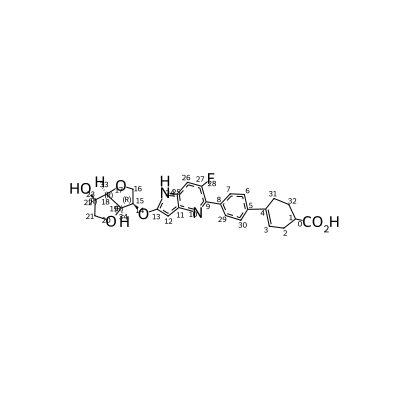 O=C(O)C1CC=C(c2ccc(-c3nc4cc(O[C@@H]5CO[C@H]6[C@@H]5OC[C@H]6O)[nH]c4cc3F)cc2)CC1